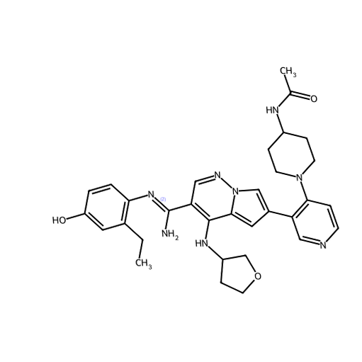 CCc1cc(O)ccc1/N=C(\N)c1cnn2cc(-c3cnccc3N3CCC(NC(C)=O)CC3)cc2c1NC1CCOC1